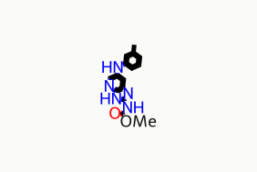 COC(=O)Nc1nc2cc(Nc3cccc(C)c3)cnc2[nH]1